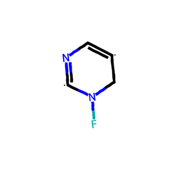 FN1[C]=NC=[C]C1